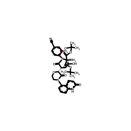 CC(C)(C)OC(=O)C(N)(C(=O)OC(C)(C)C)N(C(=O)C(CC(=O)O)[C@H]1OCCN(c2cccc3[nH]c(=O)ccc23)C1=O)c1ccc(C#N)cc1